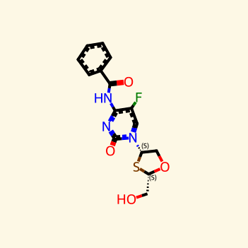 O=C(Nc1nc(=O)n([C@@H]2CO[C@H](CO)S2)cc1F)c1ccccc1